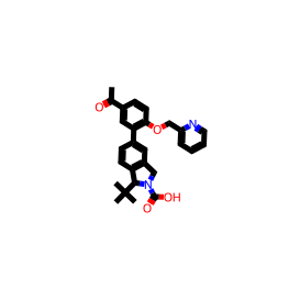 CC(=O)c1ccc(OCc2ccccn2)c(-c2ccc3c(c2)CN(C(=O)O)C3C(C)(C)C)c1